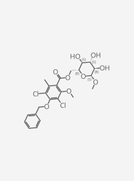 COc1c(Cl)c(OCc2ccccc2)c(Cl)c(C)c1C(=O)OC[C@H]1O[C@H](OC)[C@H](O)[C@@H](O)[C@@H]1O